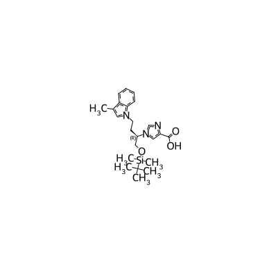 Cc1cn(CC[C@H](CO[Si](C)(C)C(C)(C)C)n2cnc(C(=O)O)c2)c2ccccc12